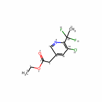 CCOC(=O)Cc1cnc(C(C)(F)F)c(Cl)c1